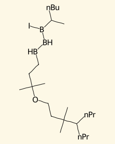 CCCCC(C)B(I)BBCCC(C)(C)OCCC(C)(C)C(CCC)CCC